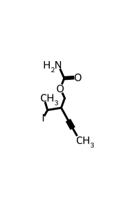 CC#CC(COC(N)=O)C(C)I